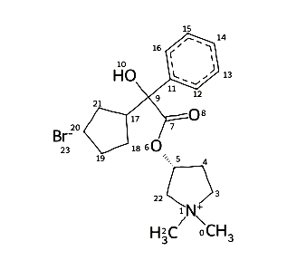 C[N+]1(C)CC[C@@H](OC(=O)C(O)(c2ccccc2)C2CCCC2)C1.[Br-]